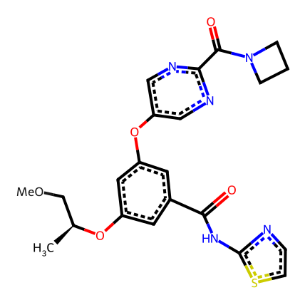 COC[C@H](C)Oc1cc(Oc2cnc(C(=O)N3CCC3)nc2)cc(C(=O)Nc2nccs2)c1